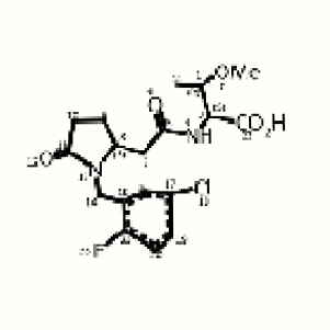 CO[C@H](C)[C@H](NC(=O)C[C@@H]1CCC(=O)N1Cc1cc(Cl)ccc1F)C(=O)O